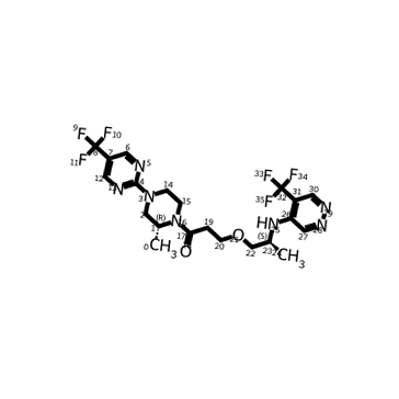 C[C@@H]1CN(c2ncc(C(F)(F)F)cn2)CCN1C(=O)CCOC[C@H](C)Nc1cnncc1C(F)(F)F